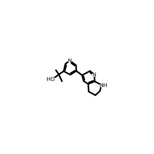 CC(C)(O)c1cncc(-c2cnc3c(c2)CCCN3)c1